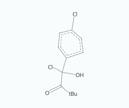 CC(C)(C)C(=O)C(O)(Cl)c1ccc(Cl)cc1